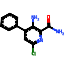 NC(=O)c1nc(Cl)cc(-c2ccccc2)c1N